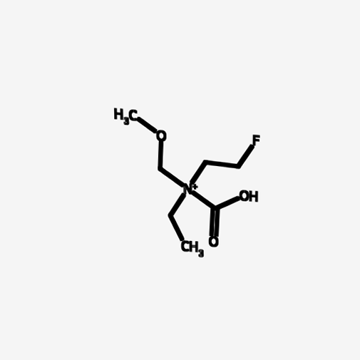 CC[N+](CCF)(COC)C(=O)O